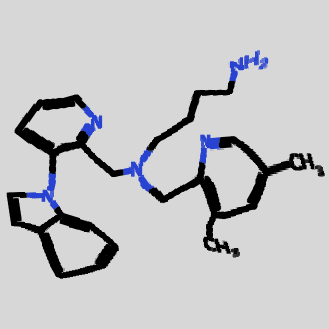 Cc1cnc(CN(CCCCN)Cc2ncccc2-n2ccc3ccccc32)c(C)c1